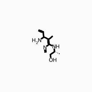 C=CC(N)/C(C)=C(\N=C)N[C@H](C)CO